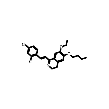 CCCCOc1cc2c(cc1OCC)C(C=Cc1ccc(Cl)cc1Cl)=NCC2